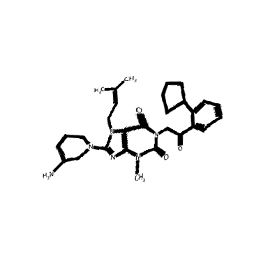 CC(C)=CCn1c(N2CCCC(N)C2)nc2c1c(=O)n(CC(=O)c1ccccc1C1CCCC1)c(=O)n2C